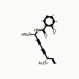 C=C[C@@H](C#CC#C[C@@H](CCCCCCCCC)NC(=O)c1ccccc1Cl)OC(C)=O